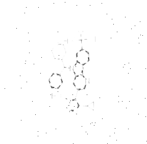 Cn1nnc(C2CC2)c1-c1cnc2c3ccc(C(C)(C)O)cc3n(C(c3ccccc3)C3CCOCC3)c2c1